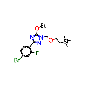 CCOc1nc(-c2ccc(Br)cc2F)nn1COCC[Si](C)(C)C